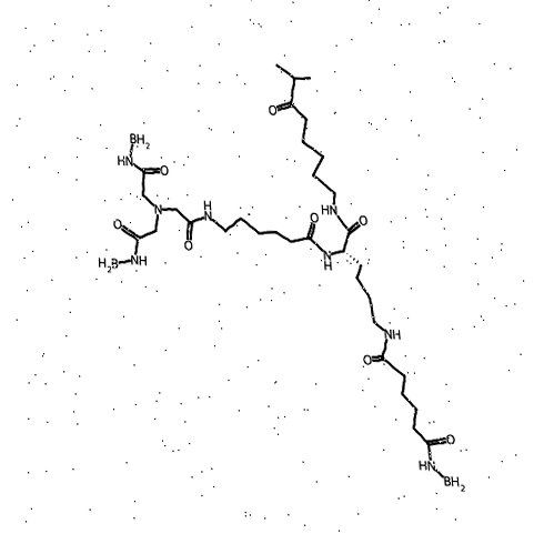 BNC(=O)CCCCC(=O)NCCCC[C@H](NC(=O)CCCCCNC(=O)CN(CC(=O)NB)CC(=O)NB)C(=O)NCCCCCC(=O)C(C)C